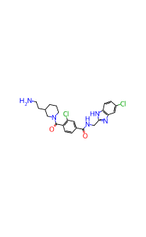 NCCC1CCCN(C(=O)c2ccc(C(=O)NCc3nc4cc(Cl)ccc4[nH]3)cc2Cl)C1